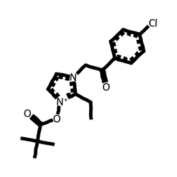 CCc1n(CC(=O)c2ccc(Cl)cc2)cc[n+]1OC(=O)C(C)(C)C